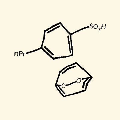 CCCc1ccc(S(=O)(=O)O)cc1.c1cc2ccc1CO2